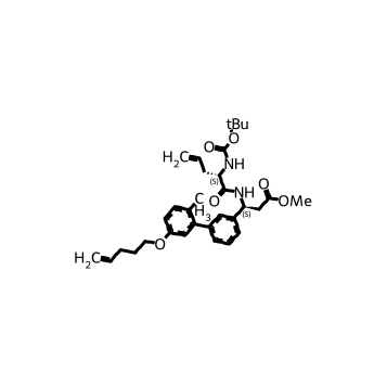 C=CCCCOc1ccc(C)c(-c2cccc([C@H](CC(=O)OC)NC(=O)[C@H](CC=C)NC(=O)OC(C)(C)C)c2)c1